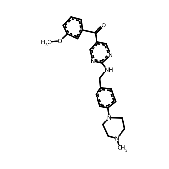 COc1cccc(C(=O)c2cnc(NCc3ccc(N4CCN(C)CC4)cc3)nc2)c1